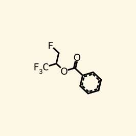 O=C(OC(CF)C(F)(F)F)c1ccccc1